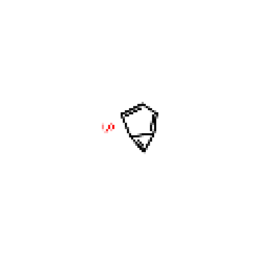 O.c1cc2cc-2c1